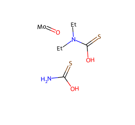 CCN(CC)C(O)=S.NC(O)=S.[O]=[Mo]